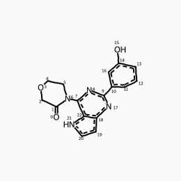 O=C1COCCN1c1nc(-c2cccc(O)c2)nc2cc[nH]c12